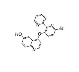 CCc1ccc(Oc2ccnc3ccc(O)cc23)c(-c2ncccn2)n1